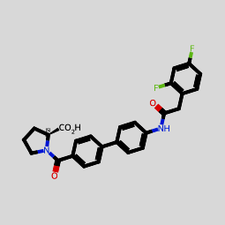 O=C(Cc1ccc(F)cc1F)Nc1ccc(-c2ccc(C(=O)N3CCC[C@H]3C(=O)O)cc2)cc1